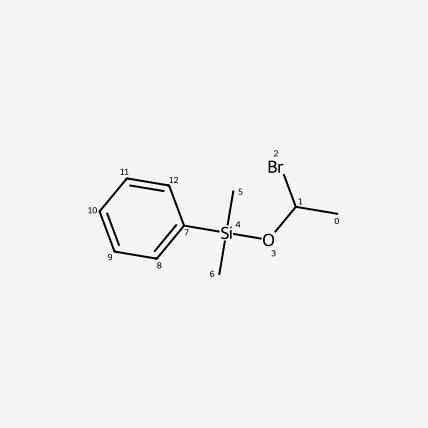 CC(Br)O[Si](C)(C)c1ccccc1